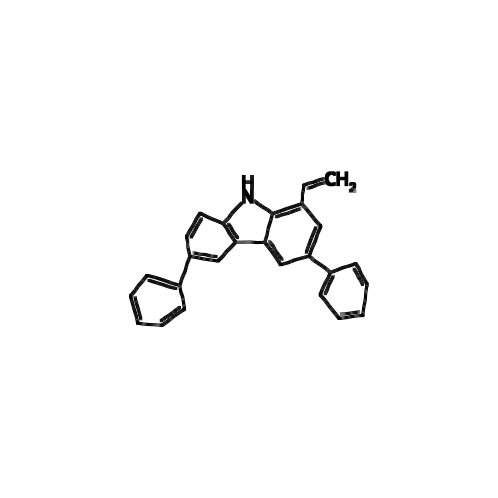 C=Cc1cc(-c2ccccc2)cc2c1[nH]c1ccc(-c3ccccc3)cc12